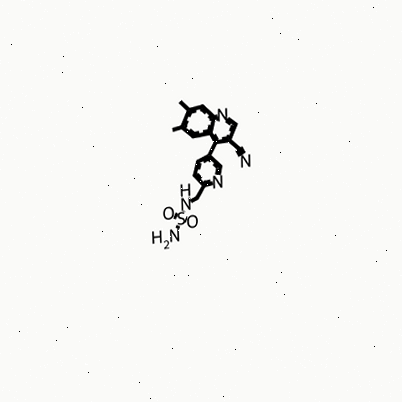 Cc1cc2ncc(C#N)c(-c3ccc(CNS(N)(=O)=O)nc3)c2cc1C